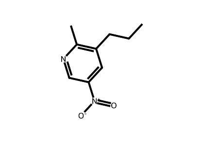 CCCc1cc([N+](=O)[O-])cnc1C